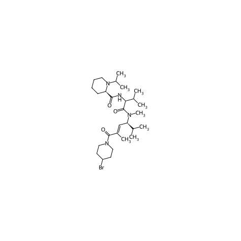 C/C(=C\[C@H](C(C)C)N(C)C(=O)C(NC(=O)[C@H]1CCCCN1C(C)C)C(C)C)C(=O)N1CCC(Br)CC1